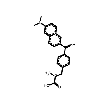 CN(C)c1ccc2cc(C(=N)c3ccc(C[C@H](N)C(=O)O)cc3)ccc2c1